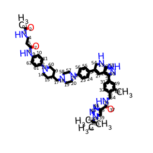 CC(=O)NCCC(=O)Nc1ccc(N2CCC(CN3CCN(c4ccc(C5=Cc6c(-c7ccc(CNC(=O)c8cn(C(C)(C)C)nn8)c(C)c7)n[nH]c6NC5)cc4)CC3)CC2)cc1